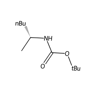 CCCC[C@@H](C)NC(=O)OC(C)(C)C